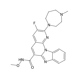 CONC(=O)c1cc2cc(F)c(N3CCCN(C)CC3)nc2n2c1nc1ccccc12